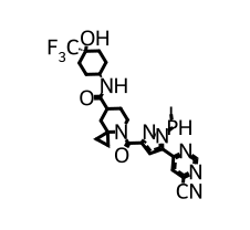 N#Cc1cc(-c2cc(C(=O)N3CCC(C(=O)N[C@H]4CC[C@@](O)(C(F)(F)F)CC4)CC34CC4)nn2PI)ncn1